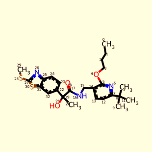 CCCCOc1nc(C(C)(C)C)ccc1CNC(=O)C(C)(O)c1ccc2nc(SC)sc2c1